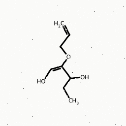 C=CCOC(=CO)C(O)CC